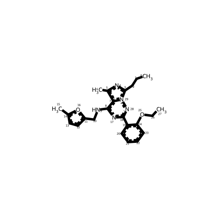 CCCc1nc(C)c2c(NCc3ccc(C)o3)nc(-c3ccccc3OCC)nn12